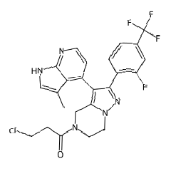 Cc1c[nH]c2nccc(-c3c(-c4ccc(C(F)(F)F)cc4F)nn4c3CN(C(=O)CCCl)CC4)c12